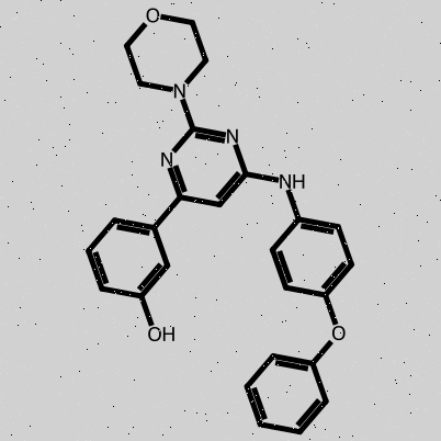 Oc1cccc(-c2cc(Nc3ccc(Oc4ccccc4)cc3)nc(N3CCOCC3)n2)c1